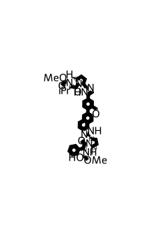 COC(=O)N[C@H](C(=O)N1C(c2ncc(-c3ccc4c(c3)COc3cc5c(ccc6nc([C@@H]7CC[C@H](I)N7C(=O)[C@H](NC(O)OC)c7ccccc7)[nH]c65)cc3-4)[nH]2)CC[C@@H]1C)C(C)C